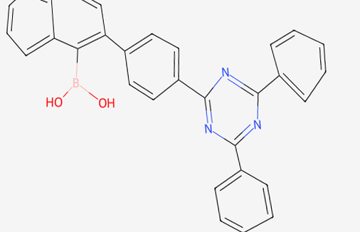 OB(O)c1c(-c2ccc(-c3nc(-c4ccccc4)nc(-c4ccccc4)n3)cc2)ccc2ccccc12